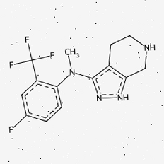 CN(c1ccc(F)cc1C(F)(F)F)c1n[nH]c2c1CCNC2